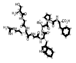 CC[C@H](C)[C@H](NC(=O)[C@H](Cc1c[nH]c2ccccc12)NC(=O)CNC(=O)[C@H](CCCNC(=N)N)NC(=O)CNC(=O)[C@@H](N)CO)C(=O)N1CCC[C@H]1C(=O)N[C@@H](Cc1ccccc1)C(=O)O